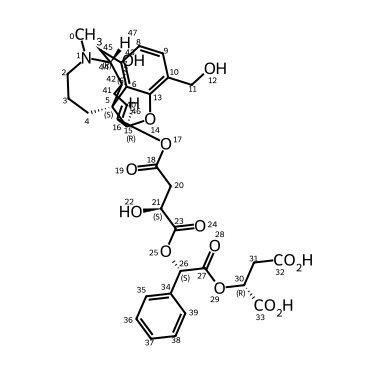 CN1CCC[C@]23c4c5ccc(CO)c4O[C@H]2C(OC(=O)C[C@H](O)C(=O)O[C@H](C(=O)O[C@H](CC(=O)O)C(=O)O)c2ccccc2)=CC[C@@]3(O)[C@H]1C5